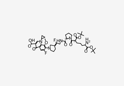 COc1c(N2CCCC(=C(F)CNC(=O)[C@@H]3CCCN3C(=O)[C@H](CCCC(N)C(=O)OC(C)(C)C)C(=O)OC(C)(C)C)C2)c(F)cc2c(=O)c(C(=O)O)cn(C3CC3)c12